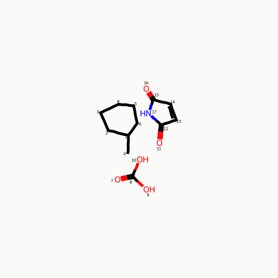 CC1CCCCC1.O=C(O)O.O=C1C=CC(=O)N1